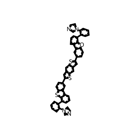 c1ccc(-n2ccnc2)c(-c2cccc3c2oc2ccc(-c4cc5cc6sc(-c7ccc8sc9c(-c%10ccccc%10-n%10ccnc%10)cccc9c8c7)cc6cc5s4)cc23)c1